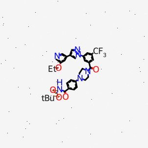 CCOc1cncc(-c2cnn(-c3cc(C(=O)N4CCN(c5ccc(C(=O)NS(=O)(=O)C(C)(C)C)cc5)CC4)cc(C(F)(F)F)c3)c2)c1